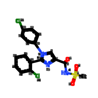 CCS(=O)(=O)NC(=O)c1cn(-c2ccc(Cl)cc2)c(-c2ccccc2Cl)n1